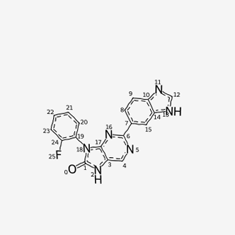 O=c1[nH]c2cnc(-c3ccc4nc[nH]c4c3)nc2n1-c1ccccc1F